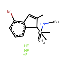 CC1=Cc2c(Br)cccc2[CH]1[Zr]([CH3])([CH3])(=[SiH2])[NH]C(C)(C)C.F.F.F